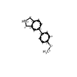 CSc1ccc(-c2ccc3c(c2)CNC3)cc1